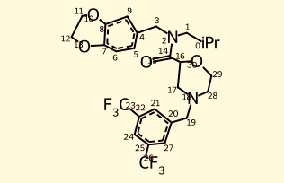 CC(C)CN(Cc1ccc2c(c1)OCCO2)C(=O)C1CN(Cc2cc(C(F)(F)F)cc(C(F)(F)F)c2)CCO1